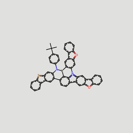 CC(C)(C)c1ccc(N2B3c4cc5c(cc4-n4c6cc7c(cc6c6ccc(c3c64)-c3cc4c(cc32)sc2ccccc24)oc2ccccc27)oc2ccccc25)cc1